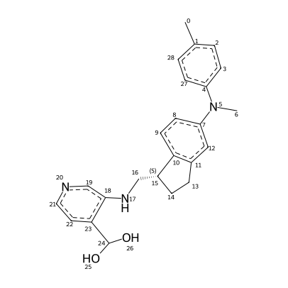 Cc1ccc(N(C)c2ccc3c(c2)CC[C@@H]3CNc2cnccc2C(O)O)cc1